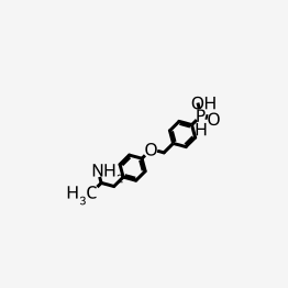 CC(N)Cc1ccc(OCc2ccc([PH](=O)O)cc2)cc1